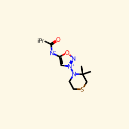 CC(C)C(=O)[N-]c1c[n+](N2CCSCC2(C)C)no1